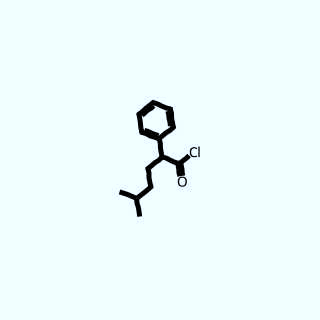 CC(C)CCC(C(=O)Cl)c1ccccc1